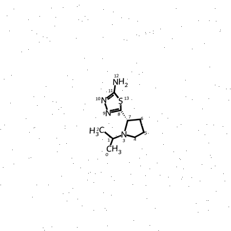 CC(C)N1CCC[C@H]1c1nnc(N)s1